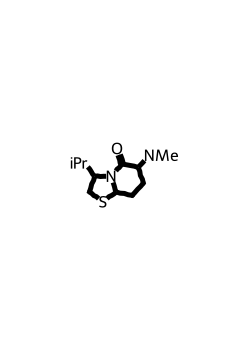 CNC1CCC2SCC(C(C)C)N2C1=O